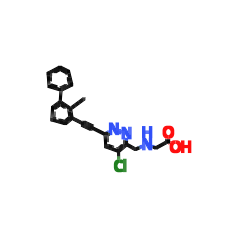 Cc1c(C#Cc2cc(Cl)c(CNCC(=O)O)nn2)cccc1-c1ccccc1